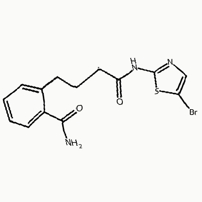 NC(=O)c1ccccc1CC[CH]C(=O)Nc1ncc(Br)s1